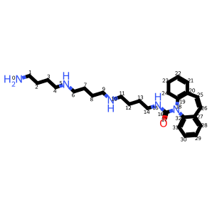 NCCCCNCCCCNCCCCNC(=O)N1C2=C(C=CCC2)C=Cc2ccccc21